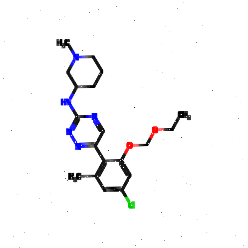 CCOCOc1cc(Cl)cc(C)c1-c1cnc(NC2CCCN(C)C2)nn1